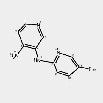 Nc1ccncc1Nc1ccc(F)cn1